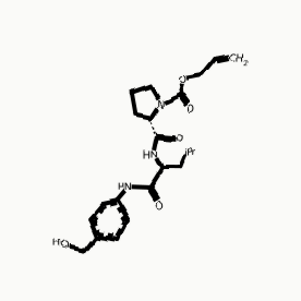 C=CCOC(=O)N1CCC[C@H]1C(=O)NC(CC(C)C)C(=O)Nc1ccc(CO)cc1